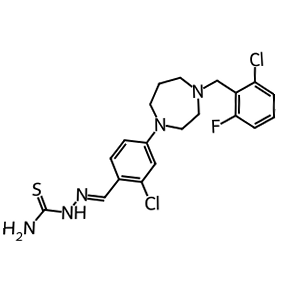 NC(=S)N/N=C/c1ccc(N2CCCN(Cc3c(F)cccc3Cl)CC2)cc1Cl